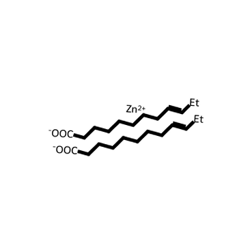 CCC=CCCCCCCCC(=O)[O-].CCC=CCCCCCCCC(=O)[O-].[Zn+2]